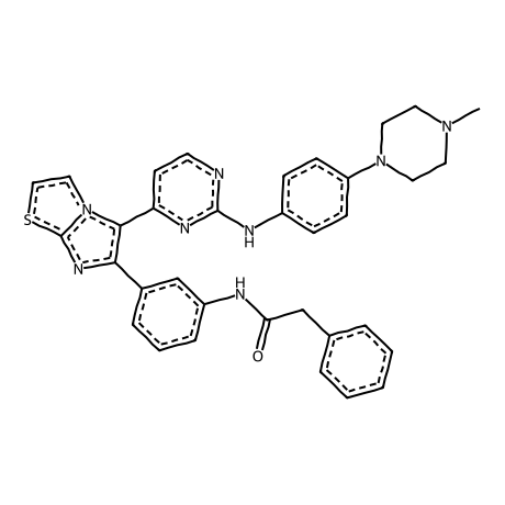 CN1CCN(c2ccc(Nc3nccc(-c4c(-c5cccc(NC(=O)Cc6ccccc6)c5)nc5sccn45)n3)cc2)CC1